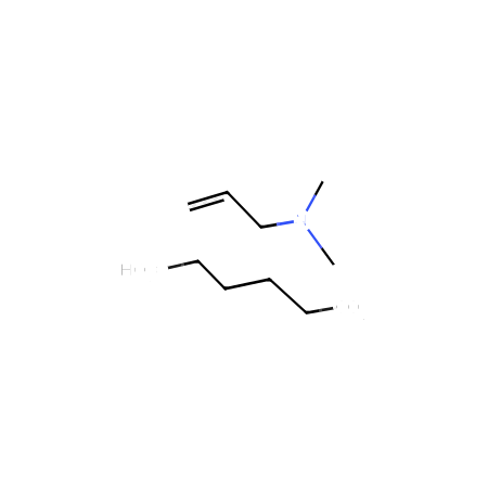 C=CCN(C)C.O=C(O)CCCCC(=O)O